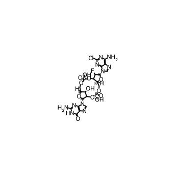 Nc1nc2c(ncn2[C@@H]2O[C@@H]3COP(=O)(O)OC4C(F)[C@H](n5cnc6c(N)nc(Cl)nc65)O[C@@H]4COP(=O)(O)OC2C3O)c(=O)[nH]1